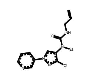 C=CCNC(=O)N(CC)c1cn(-c2cccnc2)nc1Cl